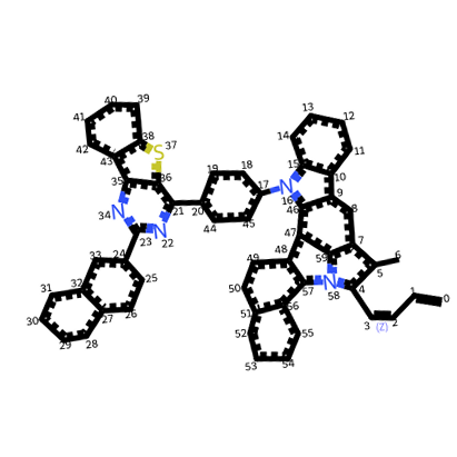 C=C/C=C\c1c(C)c2cc3c4ccccc4n(-c4ccc(-c5nc(-c6ccc7ccccc7c6)nc6c5sc5ccccc56)cc4)c3c3c4ccc5ccccc5c4n1c23